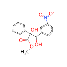 COC(=O)C(O)(c1ccccc1)C(O)c1cccc([N+](=O)[O-])c1